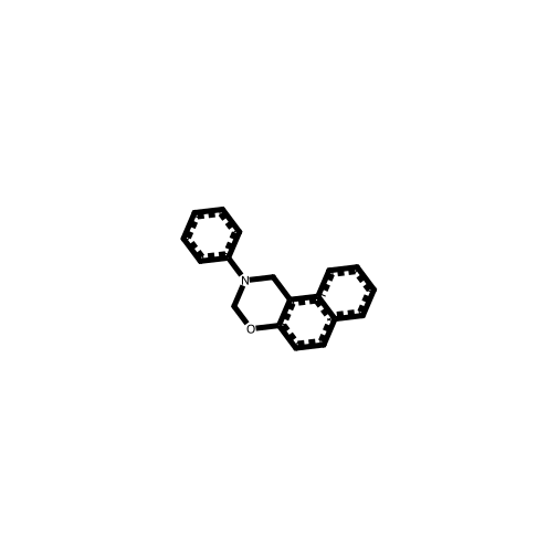 c1ccc(N2COc3ccc4ccccc4c3C2)cc1